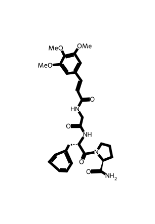 COc1cc(C=CC(=O)NCC(=O)N[C@@H](Cc2ccccc2)C(=O)N2CCC[C@H]2C(N)=O)cc(OC)c1OC